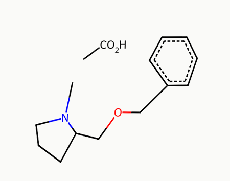 CC(=O)O.CN1CCCC1COCc1ccccc1